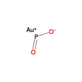 O=P[O-].[Au+]